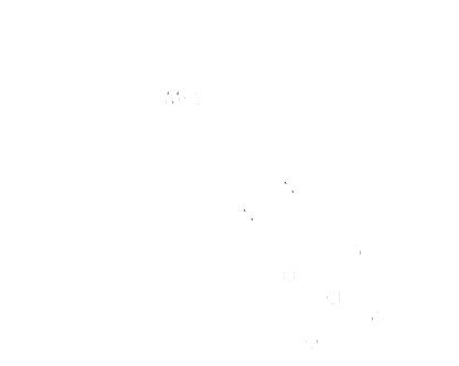 CSc1c(-c2ccccc2)n(C)[n+](C)c1-c1ccccc1.[O-][Cl+3]([O-])([O-])[O-]